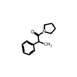 CC(C(=O)N1CCCC1)c1ccccc1